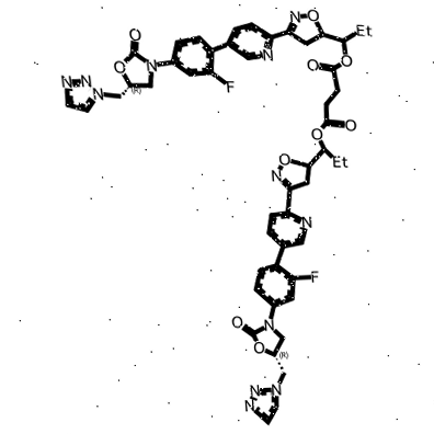 CCC(OC(=O)CCC(=O)OC(CC)C1CC(c2ccc(-c3ccc(N4C[C@H](Cn5ccnn5)OC4=O)cc3F)cn2)=NO1)C1CC(c2ccc(-c3ccc(N4C[C@H](Cn5ccnn5)OC4=O)cc3F)cn2)=NO1